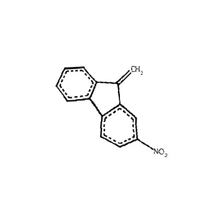 C=C1c2ccccc2-c2ccc([N+](=O)[O-])cc21